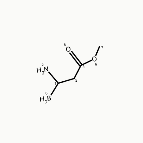 BC(N)CC(=O)OC